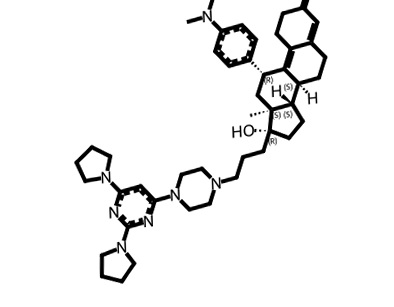 CN(C)c1ccc([C@H]2C[C@@]3(C)[C@@H](CC[C@@]3(O)CCCN3CCN(c4cc(N5CCCC5)nc(N5CCCC5)n4)CC3)[C@@H]3CCC4=CC(=O)CCC4=C32)cc1